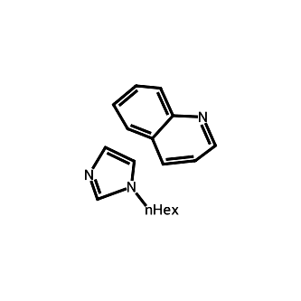 CCCCCCn1ccnc1.c1ccc2ncccc2c1